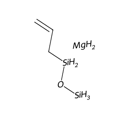 C=CC[SiH2]O[SiH3].[MgH2]